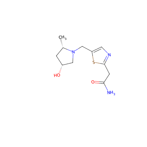 C[C@H]1C[C@@H](O)CN1Cc1cnc(CC(N)=O)s1